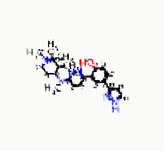 CC1C(N(C)c2ccc(-c3cc(-c4cc[nH]n4)ccc3O)nn2)CCN(C)C1(C)C